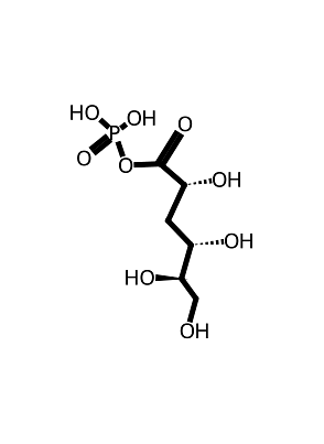 O=C(OP(=O)(O)O)[C@H](O)C[C@H](O)[C@H](O)CO